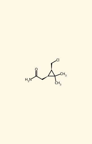 CC1(C)[C@H](CCl)[C@@H]1CC(N)=O